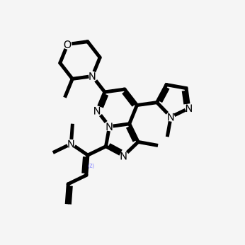 C=C/C=C(/c1nc(C)c2c(-c3ccnn3C)cc(N3CCOCC3C)nn12)N(C)C